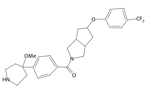 COC1(c2ccc(C(=O)N3CC4CC(Oc5ccc(C(F)(F)F)cc5)CC4C3)cc2)CCNCC1